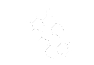 CC/C(=C(/c1ccccc1)c1cccc2ccccc12)c1cc(B(O)O)cc(C(C)C)c1